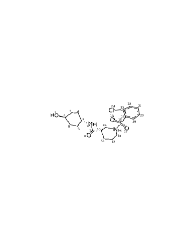 O=C(N[C@H]1CC[C@H](O)CC1)[C@H]1CCCN(S(=O)(=O)c2ccccc2Cl)C1